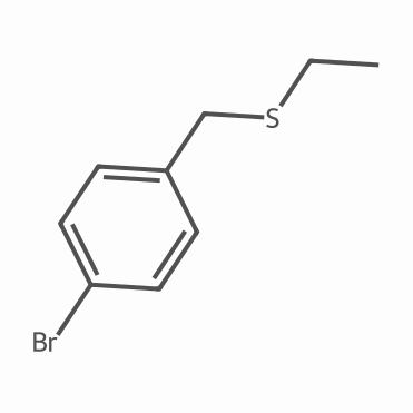 CCSCc1ccc(Br)cc1